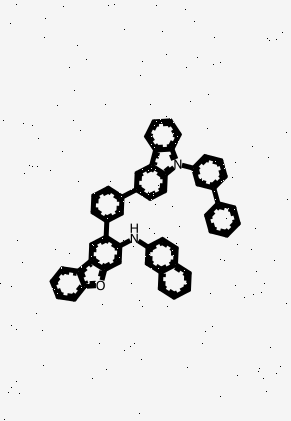 c1ccc(-c2cccc(-n3c4ccccc4c4cc(-c5cccc(-c6cc7c(cc6Nc6ccc8ccccc8c6)oc6ccccc67)c5)ccc43)c2)cc1